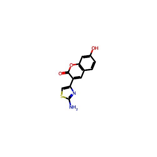 Nc1nc(-c2cc3ccc(O)cc3oc2=O)cs1